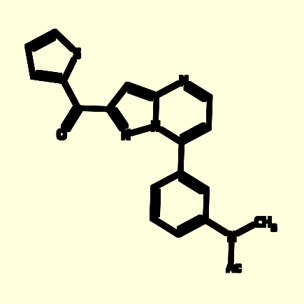 CC(=O)N(C)c1cccc(-c2ccnc3cc(C(=O)c4cccs4)nn23)c1